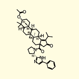 CC(=O)O[C@H]1CC[C@]2(C)[C@H]3CC[C@@H]4C5=C(C(C)C)C(=O)C[C@]5(C(=O)N5CCC[C@H]5c5ncc(-c6ccccc6)[nH]5)CC[C@@]4(C)[C@]3(C)CC[C@H]2C1(C)C